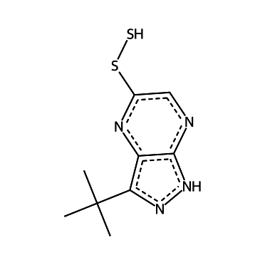 CC(C)(C)c1n[nH]c2ncc(SS)nc12